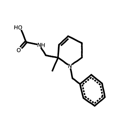 CC1(CNC(=O)O)C=CCCN1Cc1ccccc1